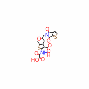 O=C(O)C(=O)Nc1sc2c(c1C(=O)O)CC(CN1C(=O)c3ccsc3C1=O)OC2